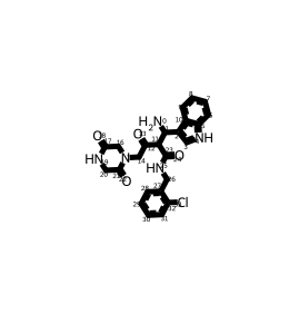 NC(c1c[nH]c2ccccc12)C(C(=O)CN1CC(=O)NCC1=O)C(=O)NCc1ccccc1Cl